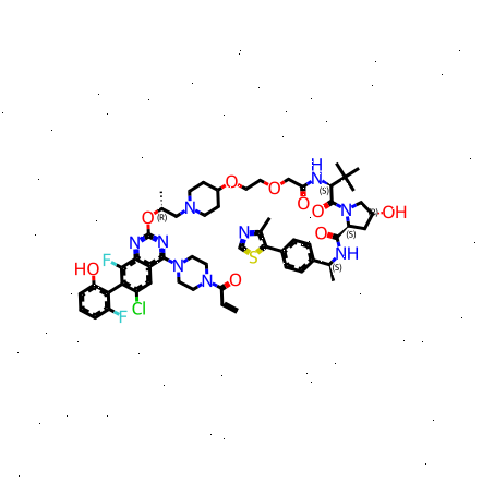 C=CC(=O)N1CCN(c2nc(O[C@H](C)CN3CCC(OCCOCC(=O)N[C@H](C(=O)N4C[C@H](O)C[C@H]4C(=O)N[C@@H](C)c4ccc(-c5scnc5C)cc4)C(C)(C)C)CC3)nc3c(F)c(-c4c(O)cccc4F)c(Cl)cc23)CC1